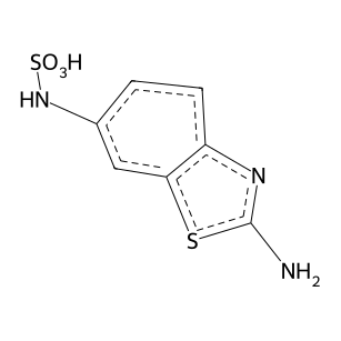 Nc1nc2ccc(NS(=O)(=O)O)cc2s1